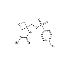 Cc1ccc(S(=O)(=O)OCC2(NC(=O)OC(C)(C)C)COC2)cc1